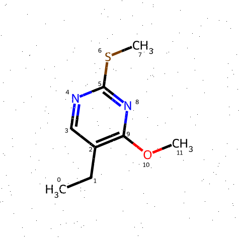 CCc1cnc(SC)nc1OC